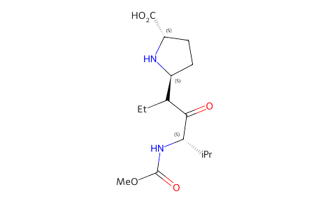 CCC(C(=O)[C@@H](NC(=O)OC)C(C)C)[C@@H]1CC[C@@H](C(=O)O)N1